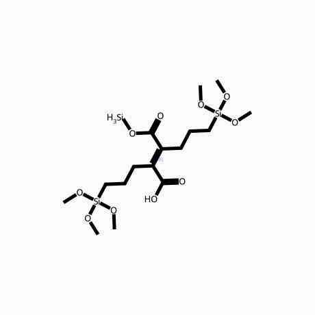 CO[Si](CCC/C(C(=O)O)=C(/CCC[Si](OC)(OC)OC)C(=O)O[SiH3])(OC)OC